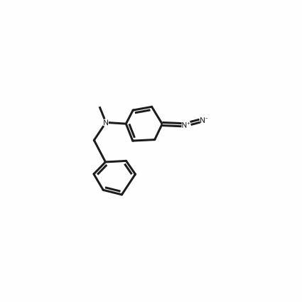 CN(Cc1ccccc1)C1=CCC(=[N+]=[N-])C=C1